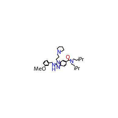 COc1cccc(CNc2nc3ccc(C(=O)N(CCC(C)C)CCC(C)C)cc3n2CCCN2CCCCC2)c1